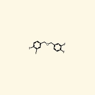 Fc1ccc(COCc2ccc(F)c(F)c2)cc1F